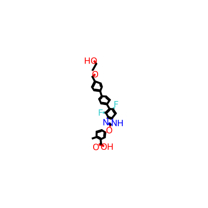 Cc1ccc(Oc2nc3c(F)c(-c4ccc(-c5ccc(COCCO)cc5)cc4)c(F)cc3[nH]2)cc1C(=O)O